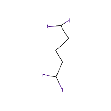 IC(I)CCCC(I)I